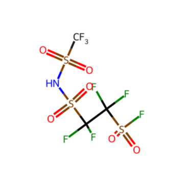 O=S(=O)(F)C(F)(F)C(F)(F)S(=O)(=O)NS(=O)(=O)C(F)(F)F